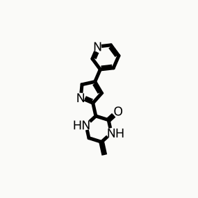 C=C1CNC(C2=NCC(c3cccnc3)=C2)C(=O)N1